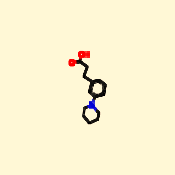 O=C(O)CCc1cccc(N2CCCCC2)c1